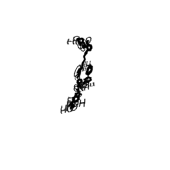 CC(C)(C)C(NC(=O)c1cc2cc(C(F)(F)P(=O)(O)O)ccc2s1)C(=O)N1C[C@@H](OCC(=O)NCCCC#Cc2cccc3c2C(=O)N(C2CCC(=O)NC2=O)C3=O)C[C@H]1C(=O)N1CCC[C@H](c2ccccc2)C1